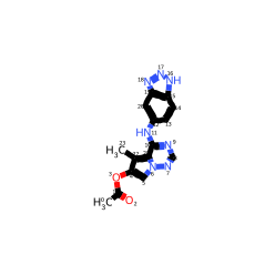 CC(=O)Oc1cn2ncnc(Nc3ccc4[nH]nnc4c3)c2c1C